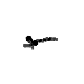 COCCOCCOCCOc1ccc(NNC=O)c(CCc2cccc[n+]2C)c1